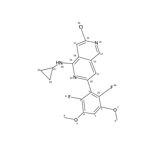 COc1cc(OC)c(F)c(-c2cc3cnc(Cl)cc3c(NC3CC3)n2)c1F